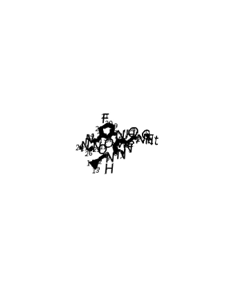 CCONC(=O)c1nnc(NC(=O)C2CC2)cc1Nc1cc(F)cc(-c2ncn(C)n2)c1OC